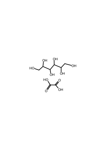 O=C(O)C(=O)O.OCC(O)C(O)C(O)C(O)CO